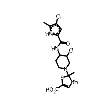 Cc1[nH]c(C(=O)NC2CCN(C3(C)NC=C(C(=O)O)S3)CC2Cl)cc1Cl